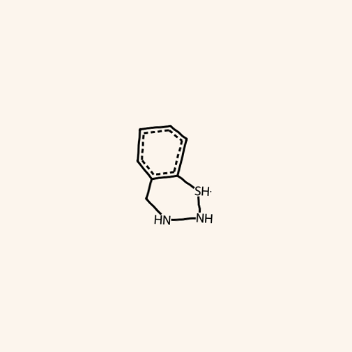 c1ccc2c(c1)CNN[SH]2